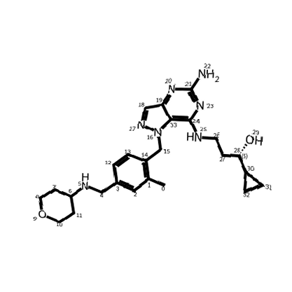 Cc1cc(CNC2CCOCC2)ccc1Cn1ncc2nc(N)nc(NCC[C@H](O)C3CC3)c21